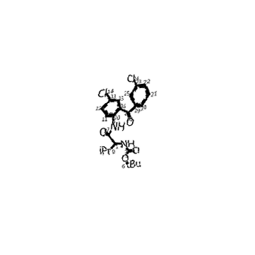 CC(C)C(NC(=O)OC(C)(C)C)C(=O)Nc1ccc(Cl)cc1C(=O)c1cccc(Cl)c1